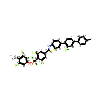 Cc1ccc(-c2ccc(-c3ccc4nc(-c5cc(F)c(C(F)(F)Oc6cc(F)c(C(F)(F)F)c(F)c6)c(F)c5)sc4c3)c(F)c2)cc1